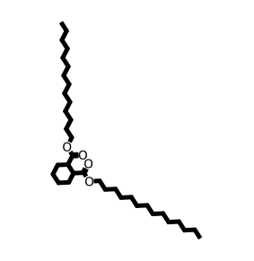 CCCCCCCCCCCCCCOC(=O)C1CCCCC1C(=O)OCCCCCCCCCCCCCC